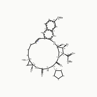 CC[C@@H]1[C@@H]2CN(C(=O)[C@H](C3CCCC3)NC(=O)O[C@@H]3C[C@H]3CCC/C=C/c3nc4ccc(OC)cc4nc3O2)[C@@H]1C(=O)OCC(C)C